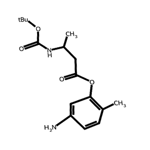 Cc1ccc(N)cc1OC(=O)CC(C)NC(=O)OC(C)(C)C